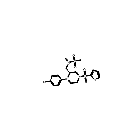 CN(C[C@H]1CN(S(=O)(=O)c2cccs2)CCN1c1ccc(O)cc1)S(C)(=O)=O